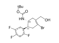 CC(C)(C)OC(=O)N[C@@H]1CC(CO)=C(Br)C[C@H]1c1cc(F)c(F)cc1F